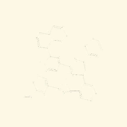 CNc1cccc(C2=NC(c3ccccc3C3CC(C4=CC=CCC4)NC(C4=CC(C5=C6CCC=CC6CC=C5)CC=C4)=N3)S2)c1